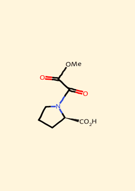 COC(=O)C(=O)N1CCC[C@@H]1C(=O)O